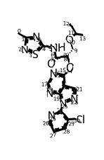 Cc1nsc(NC(=O)[C@H](COC(C)C)Oc2ncnc3c2cnn3-c2ncccc2Cl)n1